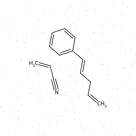 C=CC#N.C=CCC=Cc1ccccc1